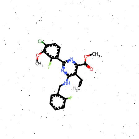 C=Cc1c(NCc2ccccc2F)nc(-c2ccc(Cl)c(OC)c2F)nc1C(=O)OC